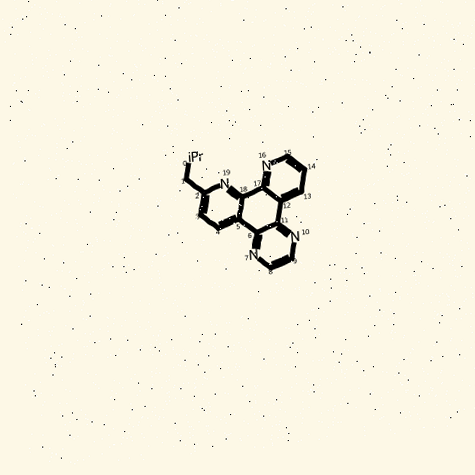 CC(C)Cc1ccc2c3nccnc3c3cccnc3c2n1